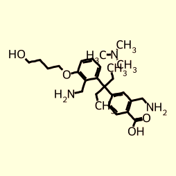 CCC(CC)(c1ccc(C(=O)O)c(CN)c1)c1cccc(OCCCCO)c1CN.CN(C)C